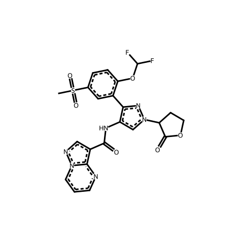 CS(=O)(=O)c1ccc(OC(F)F)c(-c2nn(C3CCOC3=O)cc2NC(=O)c2cnn3cccnc23)c1